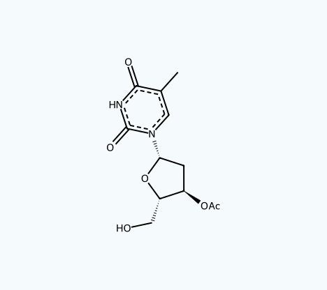 CC(=O)O[C@@H]1C[C@@H](n2cc(C)c(=O)[nH]c2=O)O[C@H]1CO